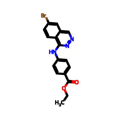 CCOC(=O)c1ccc(Nc2nncc3cc(Br)ccc23)cc1